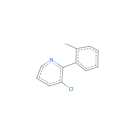 [CH2]c1ccccc1-c1ncccc1Cl